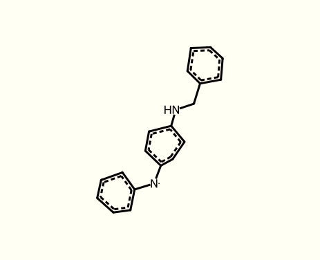 c1ccc(CNc2ccc([N]c3ccccc3)cc2)cc1